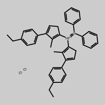 CCc1ccc(C2=CC[C]([Hf+2]([C]3=C(C)C(c4ccc(CC)cc4)=CC3)=[Si](c3ccccc3)c3ccccc3)=C2C)cc1.[Cl-].[Cl-]